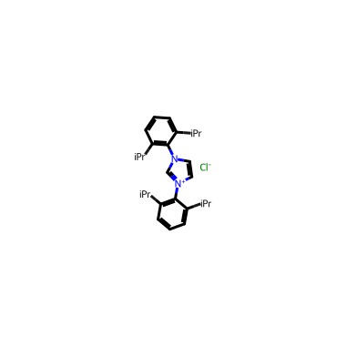 CC(C)c1cccc(C(C)C)c1-n1cc[n+](-c2c(C(C)C)cccc2C(C)C)c1.[Cl-]